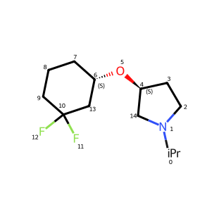 CC(C)N1CC[C@H](O[C@H]2CCCC(F)(F)C2)C1